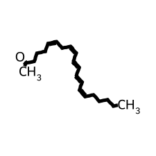 CCCCC\C=C/C=C/C=C/C=C\C/C=C\CCCC(C)=O